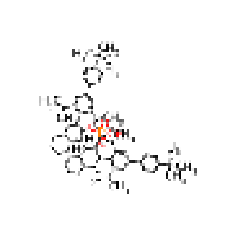 CC(C)c1cc(-c2ccc(C(C)(C)C)cc2)cc(C(C)C)c1-c1cc2c(c3c1OP(=O)(O)OC1[C@H]3c3ccccc3C[C@@H]1c1c(C(C)C)cc(-c3ccc(C(C)(C)C)cc3)cc1C(C)C)CCCC2